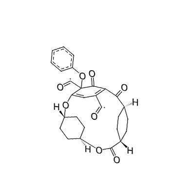 O=[C]C1=C2C(=O)C([C]=O)(Oc3ccccc3)C(=C1)O[C@H]1CC[C@@H](CC1)OC(=O)[C@H]1CC[C@@H](CC1)C2=O